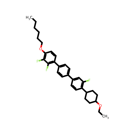 CCCCCCOc1ccc(-c2ccc(-c3ccc(C4CCC(OCC)CC4)c(F)c3)cc2)c(F)c1F